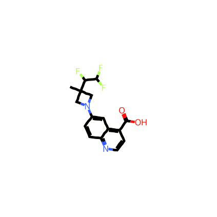 CC1(C(F)C(F)F)CN(c2ccc3nccc(C(=O)O)c3c2)C1